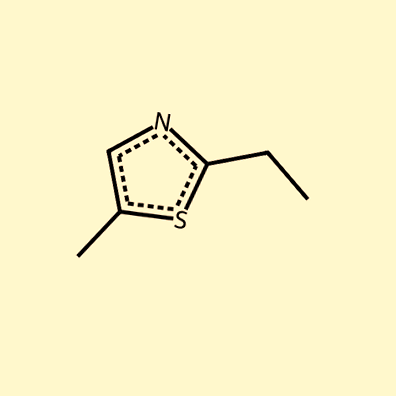 CCc1ncc(C)s1